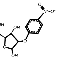 O=[N+]([O-])c1ccc(O[C@H]2C(O)O[C@@H](CO)[C@@H]2O)cc1